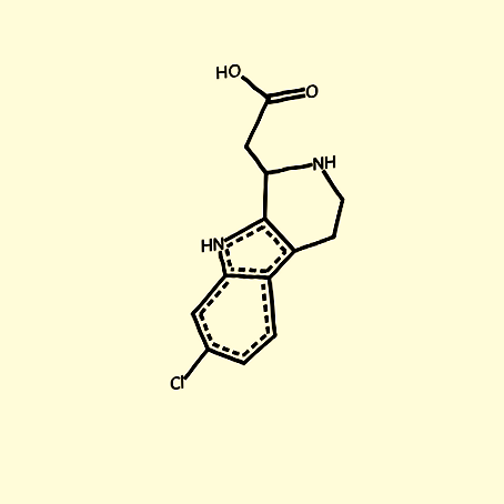 O=C(O)CC1NCCc2c1[nH]c1cc(Cl)ccc21